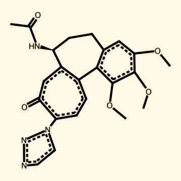 COc1cc2c(c(OC)c1OC)-c1ccc(-n3ccnn3)c(=O)cc1[C@@H](NC(C)=O)CC2